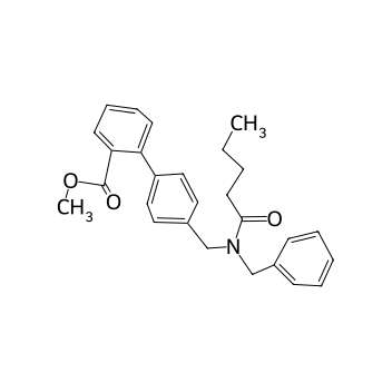 CCCCC(=O)N(Cc1ccccc1)Cc1ccc(-c2ccccc2C(=O)OC)cc1